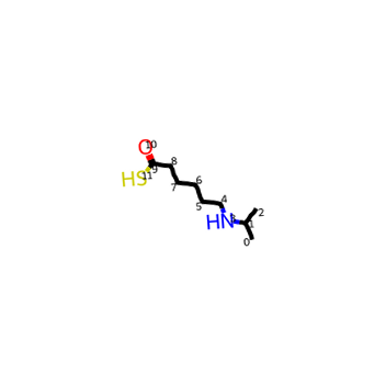 CC(C)NCCCCCC(=O)S